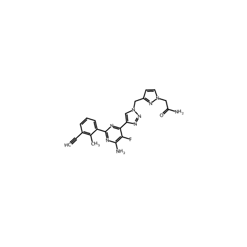 C#Cc1cccc(-c2nc(N)c(F)c(-c3cn(Cc4ccn(CC(N)=O)n4)nn3)n2)c1C